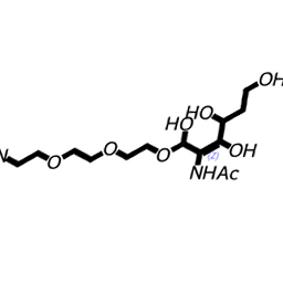 CC(=O)N/C(=C(\O)C(O)CCO)C(O)OCCOCCOCCN